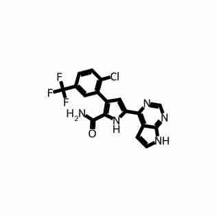 NC(=O)c1[nH]c(-c2ncnc3[nH]ccc23)cc1-c1cc(C(F)(F)F)ccc1Cl